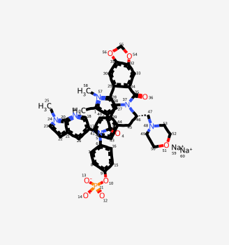 Cc1c(C(=O)N(c2ccc(OP(=O)([O-])[O-])cc2)c2cnc3c(ccn3C)c2)cc(-c2cc3c(cc2C(=O)N2Cc4ccccc4C[C@H]2CN2CCOCC2)OCO3)n1C.[Na+].[Na+]